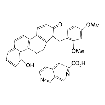 COc1ccc(CC2C(=O)C=CC3=C2CCc2c3ccc3cccc(O)c23)c(OC)c1.O=C(O)c1cc2ccncc2cn1